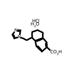 Cl.O.O=C(O)c1ccc2c(c1)CCCC2Cn1ccnc1